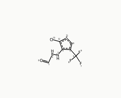 O=CBNc1c(C(F)(F)F)csc1Cl